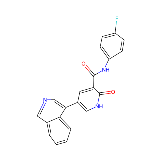 O=C(Nc1ccc(F)cc1)c1cc(-c2cncc3ccccc23)c[nH]c1=O